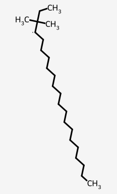 CCCCCCCCCCCCCCCCC[CH]C(C)(C)CC